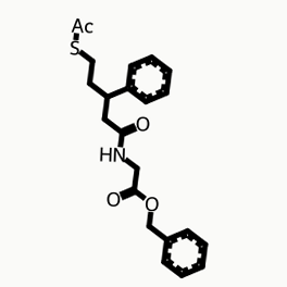 CC(=O)SCCC(CC(=O)NCC(=O)OCc1ccccc1)c1ccccc1